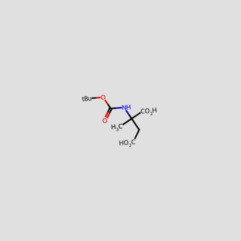 CC(C)(C)OC(=O)NC(C)(CC(=O)O)C(=O)O